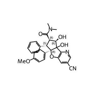 COc1ccc([C@@]23Oc4cc(C#N)cnc4C2(O)[C@H](O)[C@H](C(=O)N(C)C)[C@H]3c2ccccc2)cc1